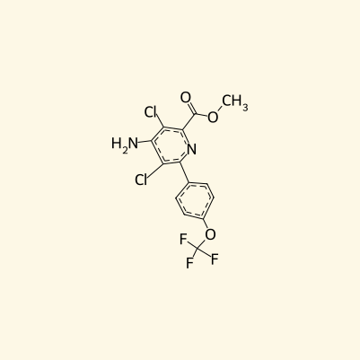 COC(=O)c1nc(-c2ccc(OC(F)(F)F)cc2)c(Cl)c(N)c1Cl